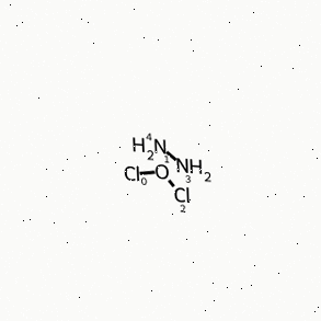 ClOCl.NN